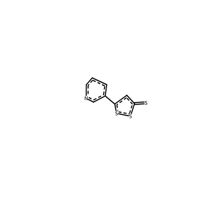 S=c1cc(-c2cccnc2)ss1